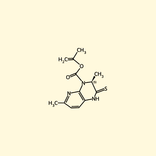 C=C(C)OC(=O)N1c2nc(C)ccc2NC(=S)[C@@H]1C